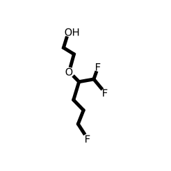 OCCOC(CCCF)C(F)F